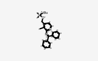 Cc1c(CO[Si](C)(C)C(C)(C)C)ccnc1N=C(c1ccccc1)c1ccccc1